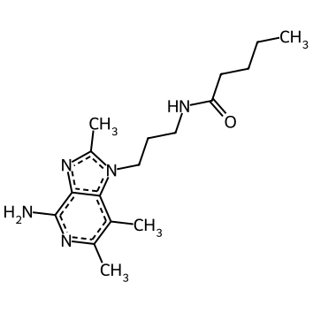 CCCCC(=O)NCCCn1c(C)nc2c(N)nc(C)c(C)c21